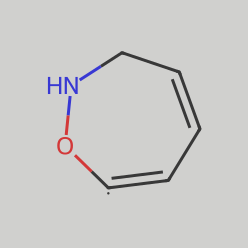 [C]1=CC=CCNO1